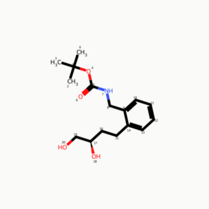 CC(C)(C)OC(=O)NCc1ccccc1CC[C@@H](O)CO